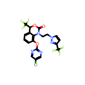 O=C1OC(C(F)(F)F)c2cccc(Oc3ncc(Cl)cn3)c2N1CCn1ccc(C(F)(F)F)n1